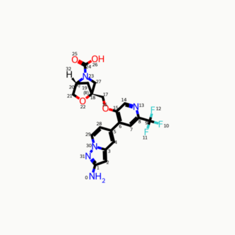 Nc1cc2cc(-c3cc(C(F)(F)F)ncc3OC[C@]34C[C@H](CO3)N(C(=O)O)C4)ccn2n1